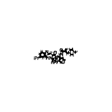 C=C(CN1CCN(C)CC1)C(=O)NC[C@@H](NC(=O)[C@H](Cc1nc2ccc(C(C)C)cc2s1)NC(=O)CCC)C1CCOCC1